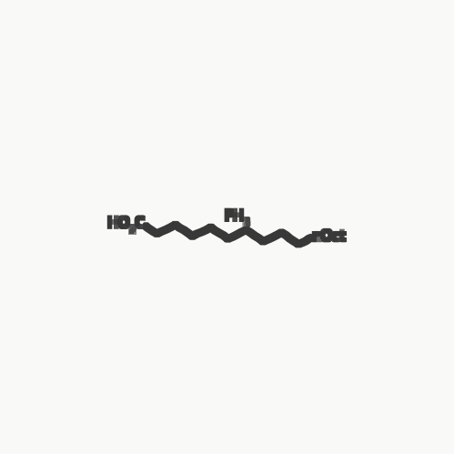 CCCCCCCCCCCCCCCCCC(=O)O.P